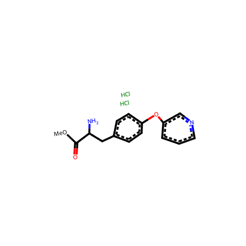 COC(=O)C(N)Cc1ccc(Oc2cccnc2)cc1.Cl.Cl